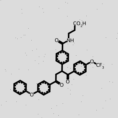 O=C(O)CCNC(=O)c1ccc(C(CC(=O)c2ccc(Oc3ccccc3)cc2)C(=O)c2ccc(OC(F)(F)F)cc2)cc1